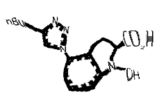 CCCCc1cn(-c2cccc3c2CC(C(=O)O)N3O)nn1